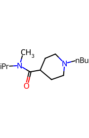 CCCCN1CCC(C(=O)N(C)C(C)C)CC1